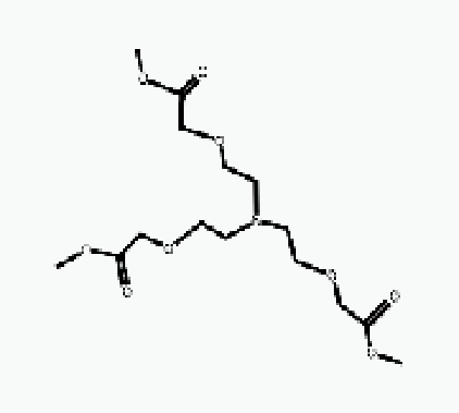 COC(=O)COCCN(CCOCC(=O)OC)CCOCC(=O)OC